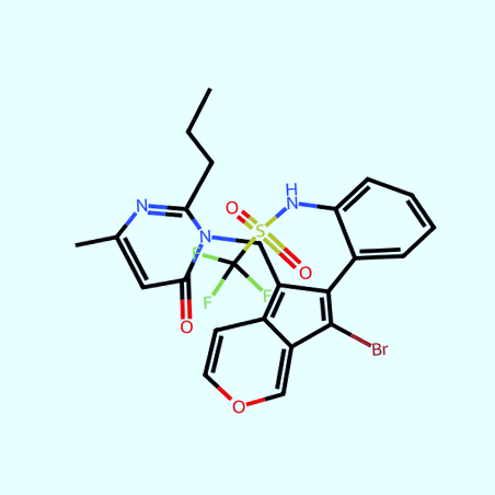 CCCc1nc(C)cc(=O)n1Cc1c2ccocc-2c(Br)c1-c1ccccc1NS(=O)(=O)C(F)(F)F